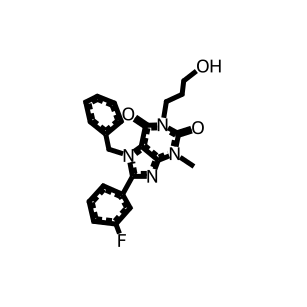 Cn1c(=O)n(CCCO)c(=O)c2c1nc(-c1cccc(F)c1)n2Cc1ccccc1